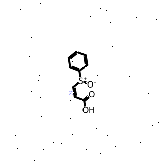 O=C(O)/C=C\[S+]([O-])c1ccccc1